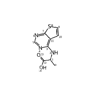 CC(Nc1ncnc2sccc12)C(=O)O